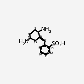 NC1CCC(N)C(=Cc2ccccc2S(=O)(=O)O)C1